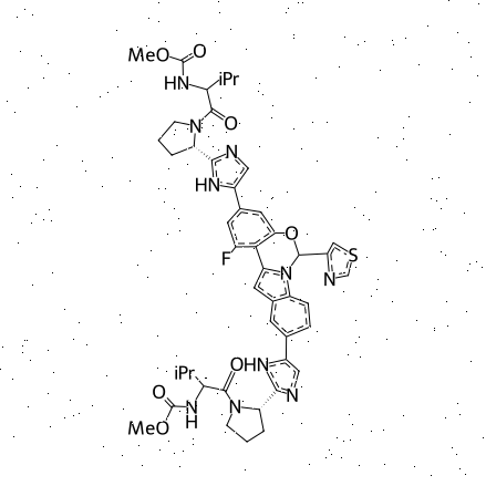 COC(=O)NC(C(=O)N1CCC[C@H]1c1ncc(-c2cc(F)c3c(c2)OC(c2cscn2)n2c-3cc3cc(-c4cnc([C@@H]5CCCN5C(=O)C(NC(=O)OC)C(C)C)[nH]4)ccc32)[nH]1)C(C)C